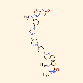 C[C@@H]1CN(C)c2c(sc3ccc4nc(-c5ccc(N6CCC(CN7CCN(c8ccc9c(c8)n(C)c(=O)n9C8CCC(=O)NC8=O)CC7)CC6)cc5)ccc4c23)C(=O)N1